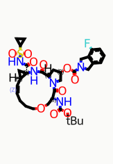 CC(C)(C)OC(=O)N[C@H]1COCCC/C=C\[C@@H]2C[C@@]2(C(=O)NS(=O)(=O)C2CC2)NC(=O)[C@@H]2C[C@@H](OC(=O)N3Cc4cccc(F)c4C3)CN2C1=O